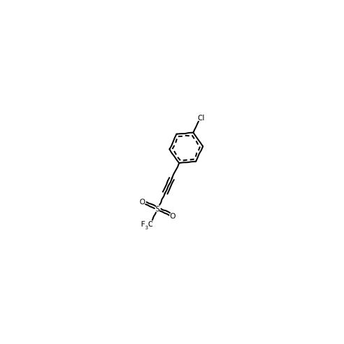 O=S(=O)(C#Cc1ccc(Cl)cc1)C(F)(F)F